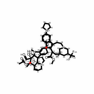 CC[C@]12C=CCN3CC[C@@]4(C5=CC([C@@]6(C(=O)OC)C[C@H]7CC(C(C)(F)F)CN(CCc8c6[nH]c6ccc(N9CCCC9)cc86)C7)C(OC)C=C5N(C)[C@H]4[C@@](O)(C=O)[C@@H]1OC(C)=O)[C@@H]32